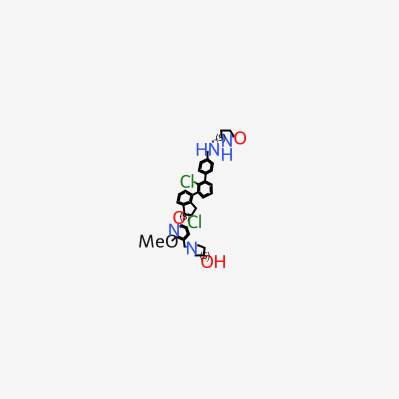 COc1nc(O[C@H]2CCc3c(-c4cccc(-c5ccc(CNC[C@@H]6CCC(=O)N6)cc5)c4Cl)cccc32)c(Cl)cc1CN1CC[C@H](O)C1